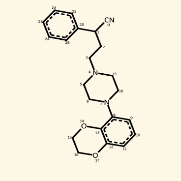 N#CC(CCN1CCN(c2cccc3c2OCCO3)CC1)c1ccccc1